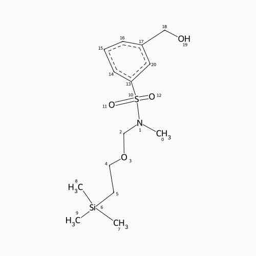 CN(COCC[Si](C)(C)C)S(=O)(=O)c1cccc(CO)c1